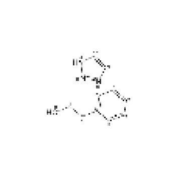 OCCc1ccccc1.c1c[nH]nn1